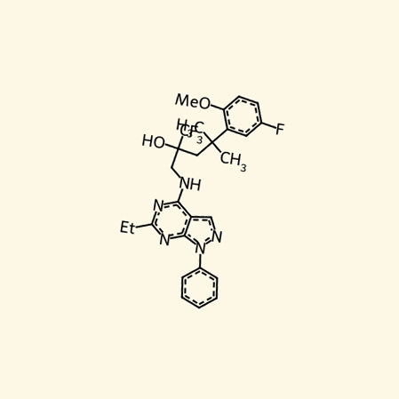 CCc1nc(NCC(O)(CC(C)(C)c2cc(F)ccc2OC)C(F)(F)F)c2cnn(-c3ccccc3)c2n1